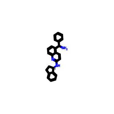 NC(c1ccccc1)c1cccc2nc(N[C@@H]3CCc4ccccc43)ccc12